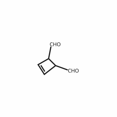 O=CC1C=CC1C=O